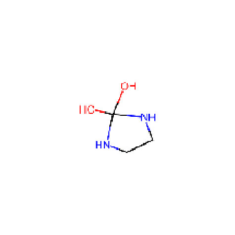 OC1(O)NCCN1